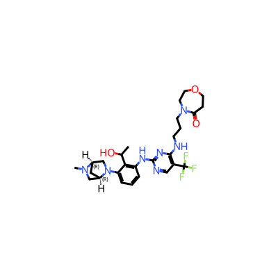 CC(O)c1c(Nc2ncc(C(F)(F)F)c(NCCCN3CCOCCC3=O)n2)cccc1N1C[C@H]2C[C@@H]1CN2C